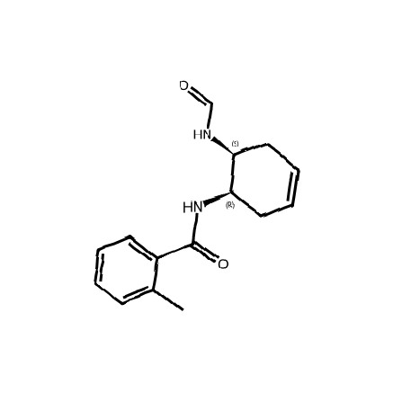 Cc1ccccc1C(=O)N[C@@H]1CC=CC[C@@H]1NC=O